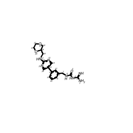 N=C(N)NC(=O)NCc1cccc(-c2cnc(NCC3COCCO3)nc2)c1